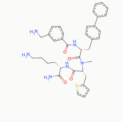 CN(C(=O)[C@@H](Cc1ccc(-c2ccccc2)cc1)NC(=O)c1cccc(CN)c1)[C@H](Cc1cccs1)C(=O)N[C@@H](CCCCN)C(N)=O